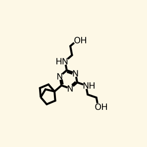 OCCNc1nc(NCCO)nc(C23CCC(CC2)C3)n1